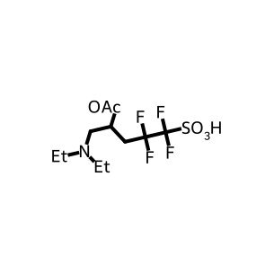 CCN(CC)CC(CC(F)(F)C(F)(F)S(=O)(=O)O)OC(C)=O